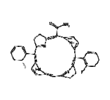 NC(=O)c1c2nc(c(C3=CC=CC[C@H]3F)c3ccc(cc4nc(c(C5=C(F)CCC=C5)c5ccc1[nH]5)CC4)[nH]3)CC2